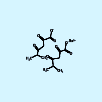 CC(C)C(=O)CC(=O)C(=O)[O-].CC(C)C(=O)CC(=O)C(=O)[O-].[Ru+2]